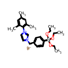 CCO[Si](OCC)(OCC)c1ccc(Cn2cc[n+](-c3c(C)cc(C)cc3C)c2)cc1.[Br-]